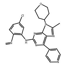 C=Nc1ccc(Cl)cc1Nc1nc(-c2ccncc2)c2nc(C)n(C3CCOCC3)c2n1